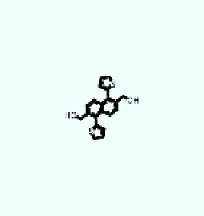 OCc1ccc2c(-c3cccs3)c(CO)ccc2c1-c1cccs1